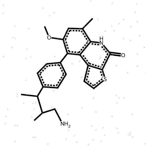 COc1cc(C)c2[nH]c(=O)c3sccc3c2c1-c1ccc(C(C)C(C)CN)cc1